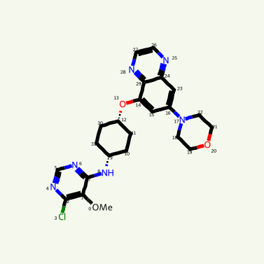 COc1c(Cl)ncnc1N[C@H]1CC[C@@H](Oc2cc(N3CCOCC3)cc3nccnc23)CC1